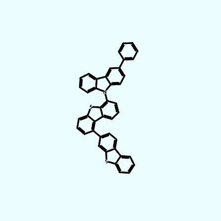 c1ccc(-c2ccc3c(c2)c2ccccc2n3-c2cccc3c2sc2cccc(-c4ccc5c(c4)sc4ccccc45)c23)cc1